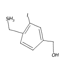 OCc1ccc(C[SiH3])c(I)c1